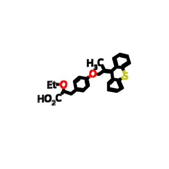 CCOC(Cc1ccc(OCC(C)=C2c3ccccc3Sc3ccccc32)cc1)C(=O)O